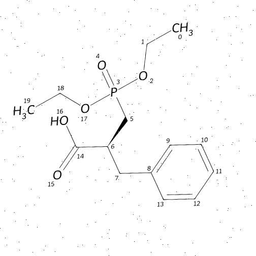 CCOP(=O)(C[C@@H](Cc1ccccc1)C(=O)O)OCC